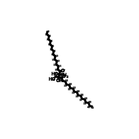 CCCCCCCCCCCCCCCCC(=O)C(O)(P)C(O)(CO)C(=O)CCCCCCCCCCCCCCCC